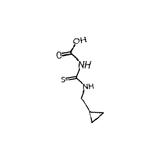 O=C(O)NC(=S)NCC1CC1